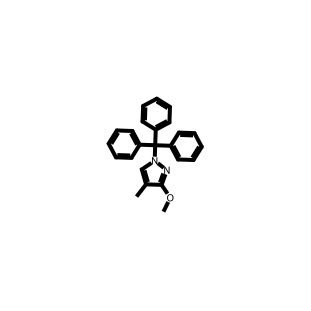 COc1nn(C(c2ccccc2)(c2ccccc2)c2ccccc2)cc1C